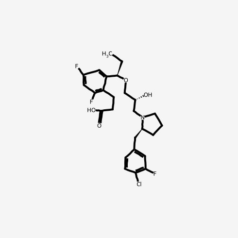 CC[C@@H](OC[C@H](O)CN1CCC[C@H]1Cc1ccc(Cl)c(F)c1)c1cc(F)cc(F)c1CCC(=O)O